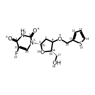 O=c1[nH]c(=O)n([C@@H]2CC(OCc3cccs3)[C@H](CO)O2)cc1F